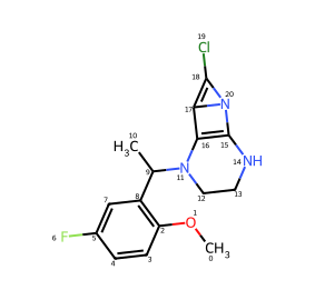 COc1ccc(F)cc1C(C)N1CCNc2c1c1c(Cl)n2-1